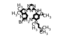 COc1cc(N(C)CCN(C)C)c(N)cc1Nc1ncnc(N2CC(C)(C)c3nc(Br)ccc32)n1